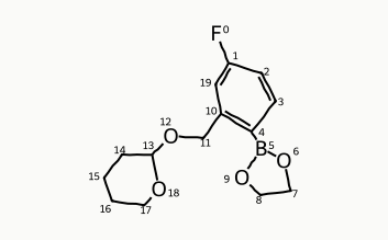 Fc1ccc(B2OCCO2)c(COC2CCCCO2)c1